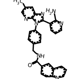 Cc1cnc2c(c1)nc(-c1cccnc1N)n2-c1ccc(CNC(=O)c2ccc3ncccc3c2)cc1